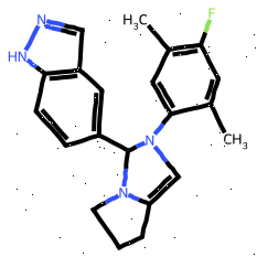 Cc1cc(N2C=C3CCCN3C2c2ccc3[nH]ncc3c2)c(C)cc1F